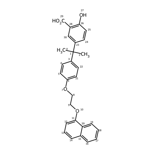 CC(C)(c1ccc(OCCOc2cccc3ccccc23)cc1)c1ccc(O)c(C(=O)O)c1